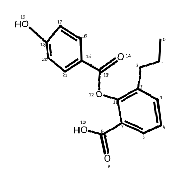 CCCc1cccc(C(=O)O)c1OC(=O)c1ccc(O)cc1